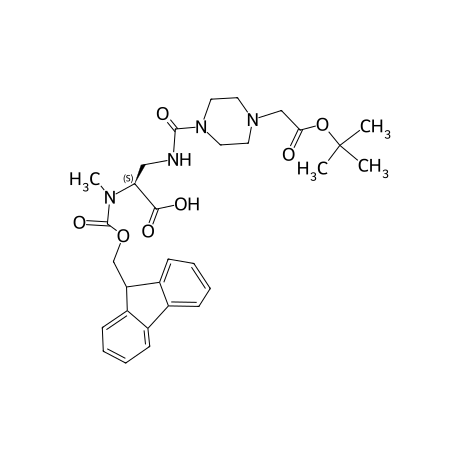 CN(C(=O)OCC1c2ccccc2-c2ccccc21)[C@@H](CNC(=O)N1CCN(CC(=O)OC(C)(C)C)CC1)C(=O)O